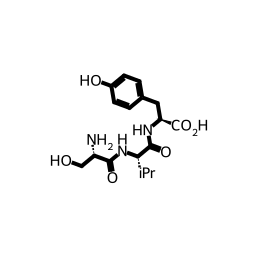 CC(C)[C@H](NC(=O)[C@@H](N)CO)C(=O)N[C@@H](Cc1ccc(O)cc1)C(=O)O